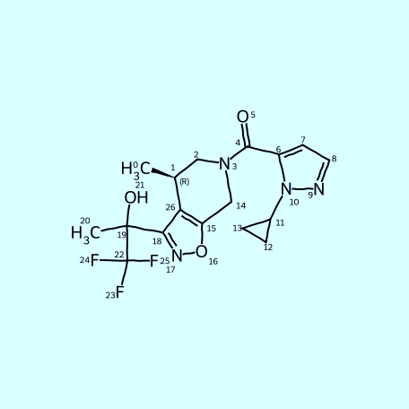 C[C@H]1CN(C(=O)c2ccnn2C2CC2)Cc2onc(C(C)(O)C(F)(F)F)c21